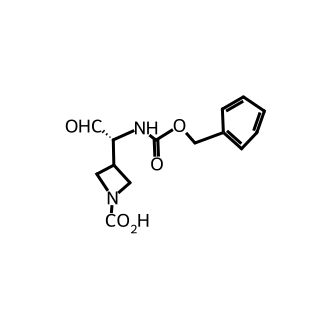 O=C[C@H](NC(=O)OCc1ccccc1)C1CN(C(=O)O)C1